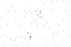 C#CC(N)(CCSC[C@H]1O[C@@H](n2cnc3c(N)ncnc32)[C@H](O)[C@@H]1O)C(=O)O